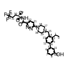 CCc1cc(-c2cccc(O)c2)ccc1CN1CCN(c2ccc(C(=O)NS(=O)(=O)CCC(F)(F)F)nn2)CC1